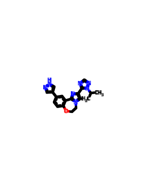 CC(C)n1ncnc1-c1cn2c(n1)-c1cc(-c3cn[nH]c3)ccc1OCC2